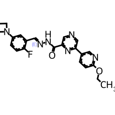 CCOc1ccc(-c2cncc(C(=O)N/N=C/c3cc(N4CCC4)ccc3F)n2)cn1